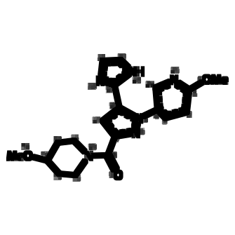 COc1ccc(-n2nc(C(=O)N3CCC(OC)CC3)cc2-c2ncc[nH]2)cn1